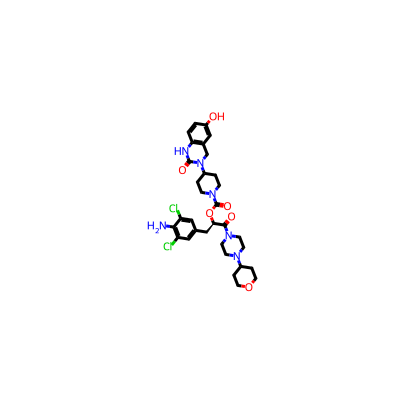 Nc1c(Cl)cc(C[C@@H](OC(=O)N2CCC(N3Cc4cc(O)ccc4NC3=O)CC2)C(=O)N2CCN(C3CCOCC3)CC2)cc1Cl